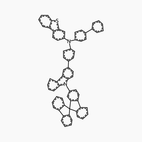 c1ccc(-c2ccc(N(c3ccc(-c4ccc5c(c4)c4ccccc4n5-c4ccc5c(c4)C4(c6ccccc6-c6ccccc64)c4ccccc4-5)cc3)c3ccc4c(c3)sc3ccccc34)cc2)cc1